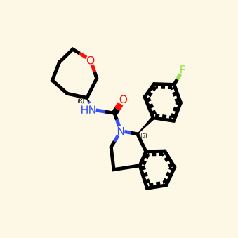 O=C(N[C@@H]1CCCCOC1)N1CCc2ccccc2[C@@H]1c1ccc(F)cc1